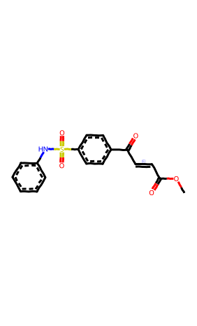 COC(=O)/C=C/C(=O)c1ccc(S(=O)(=O)Nc2ccccc2)cc1